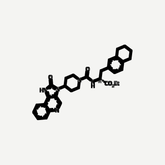 CCOC(=O)[C@@H](Cc1ccc2c(c1)CCCC2)NC(=O)N1CCC(n2c(=O)[nH]c3c4ccccc4ncc32)CC1